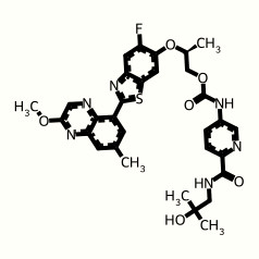 COc1cnc2c(-c3nc4cc(F)c(O[C@@H](C)COC(=O)Nc5ccc(C(=O)NCC(C)(C)O)nc5)cc4s3)cc(C)cc2n1